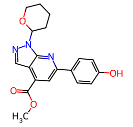 COC(=O)c1cc(-c2ccc(O)cc2)nc2c1cnn2C1CCCCO1